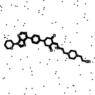 O=C1CC(c2ccc(-c3ncnc4c3ncn4C3CCCCO3)cc2)CC(=O)C1=CNCCN1CCN(CCO)CC1